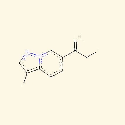 C=C(CC)c1ccc2c(C)cnn2c1